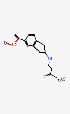 C=C(OCC)c1ccc2c(c1)CC(NCCC(=O)OC)C2